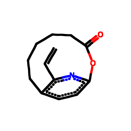 C=Cc1nc2ccc1CCCCCC(=O)O2